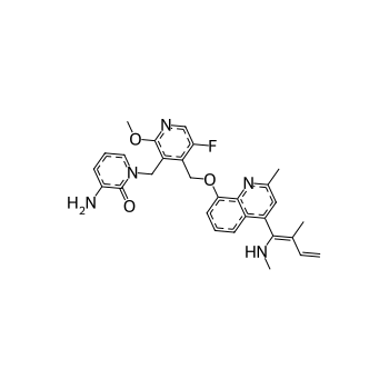 C=C/C(C)=C(\NC)c1cc(C)nc2c(OCc3c(F)cnc(OC)c3Cn3cccc(N)c3=O)cccc12